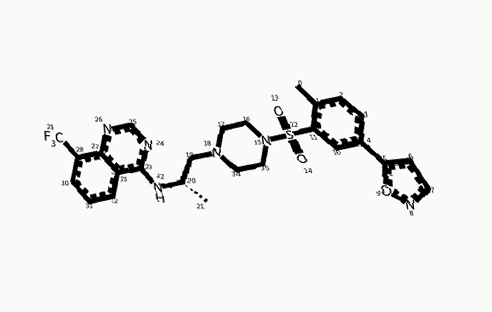 Cc1ccc(-c2ccno2)cc1S(=O)(=O)N1CCN(C[C@H](C)Nc2ncnc3c(C(F)(F)F)cccc23)CC1